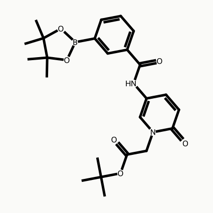 CC(C)(C)OC(=O)Cn1cc(NC(=O)c2cccc(B3OC(C)(C)C(C)(C)O3)c2)ccc1=O